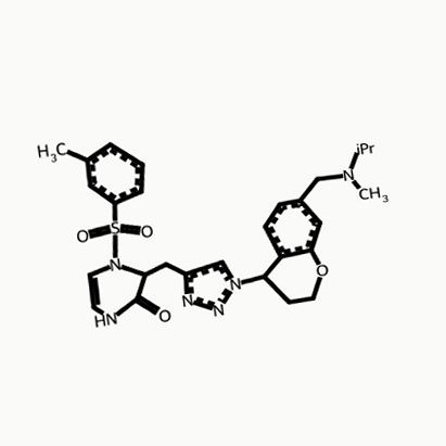 Cc1cccc(S(=O)(=O)N2C=CNC(=O)C2Cc2cn(C3CCOc4cc(CN(C)C(C)C)ccc43)nn2)c1